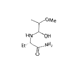 CC[C@H](NC(O)C(C)OC)C(N)=O